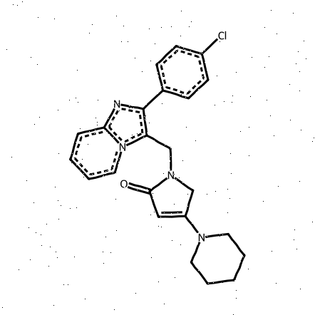 O=C1C=C(N2CCCCC2)CN1Cc1c(-c2ccc(Cl)cc2)nc2ccccn12